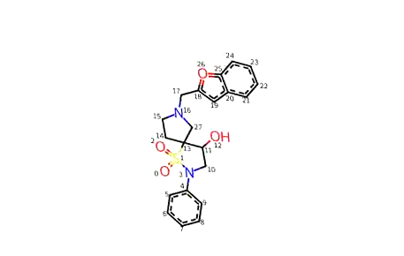 O=S1(=O)N(c2ccccc2)CC(O)C12CCN(Cc1cc3ccccc3o1)C2